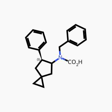 O=C(O)N(Cc1ccccc1)C1CC2(CC2)C[C@H]1c1ccccc1